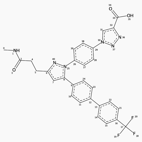 CNC(=O)CCc1cc(-c2ccc(-c3ccc(C(F)(F)F)cc3)cc2)n(-c2ccc(-n3cc(C(=O)O)nn3)cc2)n1